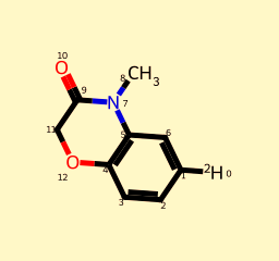 [2H]c1ccc2c(c1)N(C)C(=O)CO2